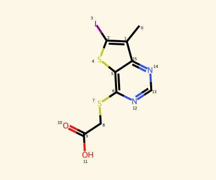 Cc1c(I)sc2c(SCC(=O)O)ncnc12